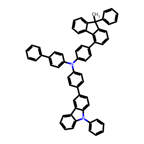 CC1(c2ccccc2)c2ccccc2-c2c(-c3ccc(N(c4ccc(-c5ccccc5)cc4)c4ccc(-c5ccc6c(c5)c5ccccc5n6-c5ccccc5)cc4)cc3)cccc21